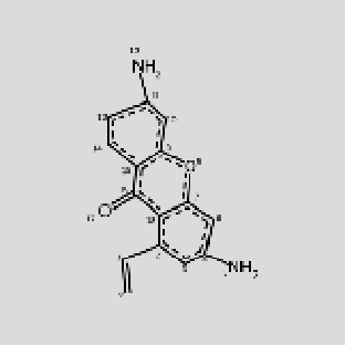 C=Cc1cc(N)cc2oc3cc(N)ccc3c(=O)c12